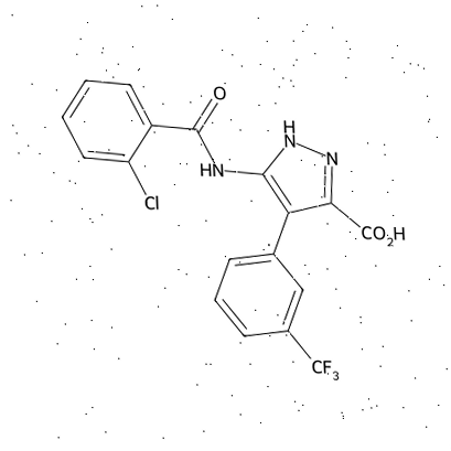 O=C(Nc1[nH]nc(C(=O)O)c1-c1cccc(C(F)(F)F)c1)c1ccccc1Cl